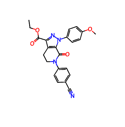 CCOC(=O)c1nn(-c2ccc(OC)cc2)c2c1CCN(c1ccc(C#N)cc1)C2=O